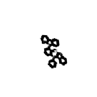 Clc1c(N(c2ccccc2)c2csc3ccccc23)cccc1-n1c2ccccc2c2cccnc21